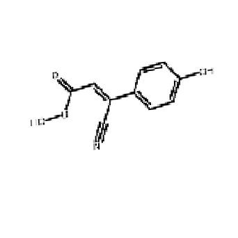 N#CC(=CC(=O)OO)c1ccc(O)cc1